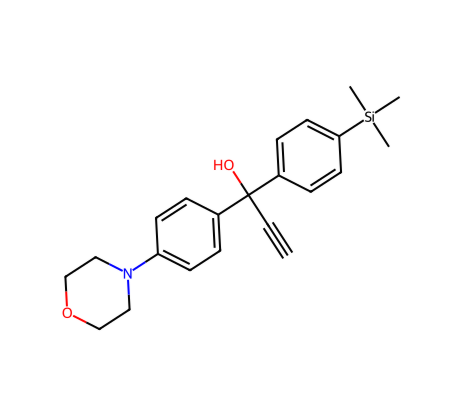 C#CC(O)(c1ccc(N2CCOCC2)cc1)c1ccc([Si](C)(C)C)cc1